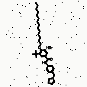 Br.CCCCCCCCCCCCCCOc1ccc(C(=O)Nc2ccc(CN3C=CSC3)cc2)cc1C(C)(C)C